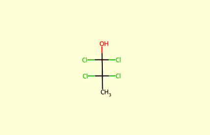 CC(Cl)(Cl)C(O)(Cl)Cl